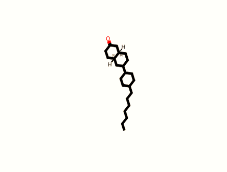 CCCCCCCC1CCC(C2CC[C@@H]3CC(=O)CC[C@H]3C2)CC1